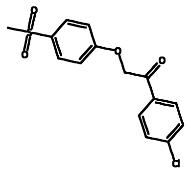 CS(=O)(=O)c1ccc(OCC(=O)c2ccc(Cl)cc2)cc1